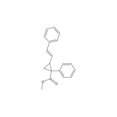 COC(=O)C1(c2ccccc2)CC1C=Cc1ccccc1